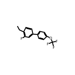 CCc1ccc(-c2ccc(OC(F)(F)F)cc2)cc1F